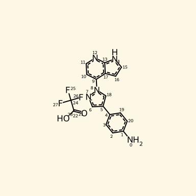 Nc1ccc(-c2cnn(-c3ccnc4[nH]ccc34)c2)cc1.O=C(O)C(F)(F)F